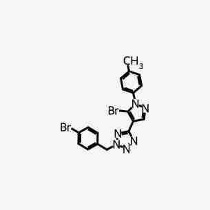 Cc1ccc(-n2ncc(-c3nnn(Cc4ccc(Br)cc4)n3)c2Br)cc1